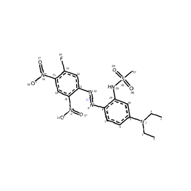 CCN(CC)c1ccc(/N=N/c2cc(F)c([N+](=O)[O-])cc2[N+](=O)[O-])c(NS(C)(=O)=O)c1